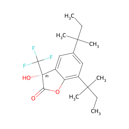 CCC(C)(C)c1cc(C(C)(C)CC)c2c(c1)[C@](O)(C(F)(F)F)C(=O)O2